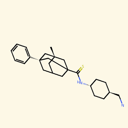 C[C@]12CC3CC(C(=S)N[C@H]4CC[C@H](CN)CC4)(C1)C[C@@](c1ccccc1)(C3)C2